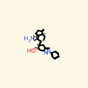 C=C1CC[C@H]2[C@H](CN)[C@@H]([C@@]3(C)Cc4cn(-c5cc[c]cc5)nc4C[C@@H]3CO)CC[C@]12C